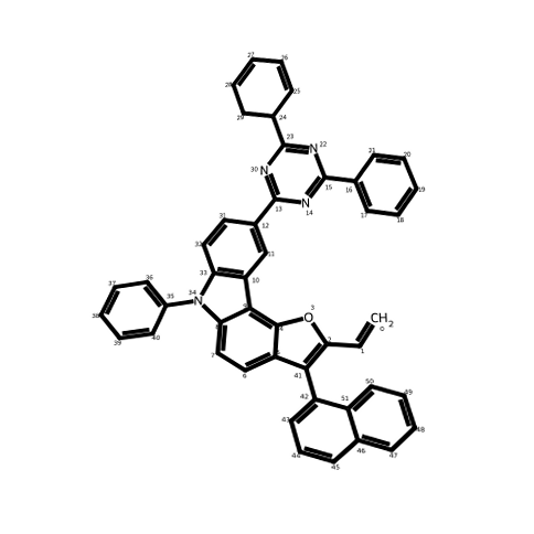 C=Cc1oc2c(ccc3c2c2cc(-c4nc(-c5ccccc5)nc(C5C=CC=CC5)n4)ccc2n3-c2ccccc2)c1-c1cccc2ccccc12